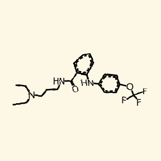 CCN(CC)CCCNC(=O)c1ccccc1Nc1ccc(OC(F)(F)F)cc1